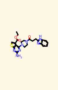 CCOC(=O)c1csc2nc(N)nc(N3CCN(C(=O)CCc4nc5ccccc5[nH]4)CC3)c12